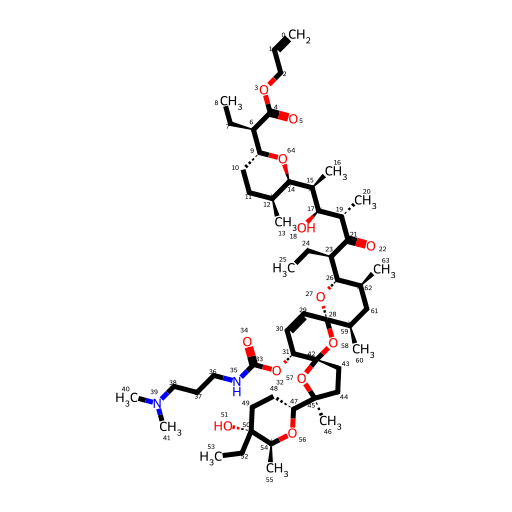 C=CCOC(=O)[C@H](CC)[C@H]1CC[C@H](C)[C@H]([C@@H](C)[C@H](O)[C@H](C)C(=O)[C@H](CC)[C@H]2O[C@]3(C=C[C@@H](OC(=O)NCCCN(C)C)[C@]4(CC[C@@](C)([C@H]5CC[C@](O)(CC)[C@H](C)O5)O4)O3)[C@H](C)C[C@@H]2C)O1